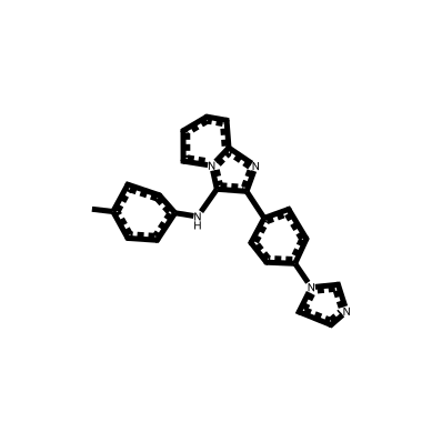 Cc1ccc(Nc2c(-c3ccc(-n4ccnc4)cc3)nc3ccccn23)cc1